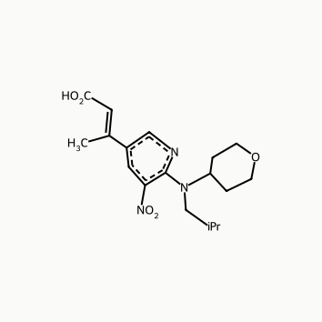 C/C(=C\C(=O)O)c1cnc(N(CC(C)C)C2CCOCC2)c([N+](=O)[O-])c1